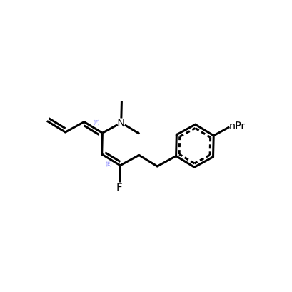 C=C/C=C(\C=C(\F)CCc1ccc(CCC)cc1)N(C)C